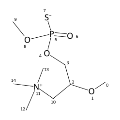 COC(COP(=O)([S-])OC)C[N+](C)(C)C